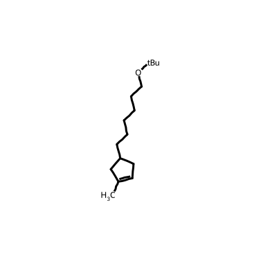 CC1=CCC(CCCCCCOC(C)(C)C)C1